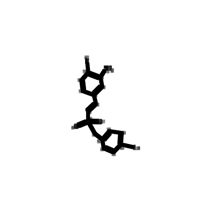 Nc1cc(C=CS(=O)(=O)Cc2ccc(I)cc2)ccc1F